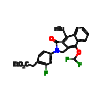 CCCCc1c2c(c(OC(F)F)c3ccccc13)CN(c1ccc(CC(=O)OCC)c(F)c1)C2=O